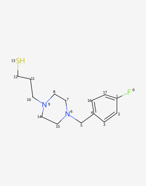 Fc1ccc(CN2CCN(CCCS)CC2)cc1